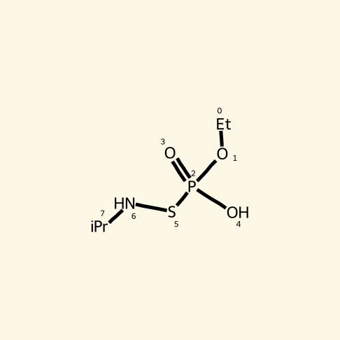 CCOP(=O)(O)SNC(C)C